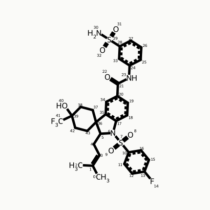 CC(C)=CCC1N(S(=O)(=O)c2ccc(F)cc2)c2ccc(C(=O)Nc3cccc(S(N)(=O)=O)c3)cc2C12CCC(O)(C(F)(F)F)CC2